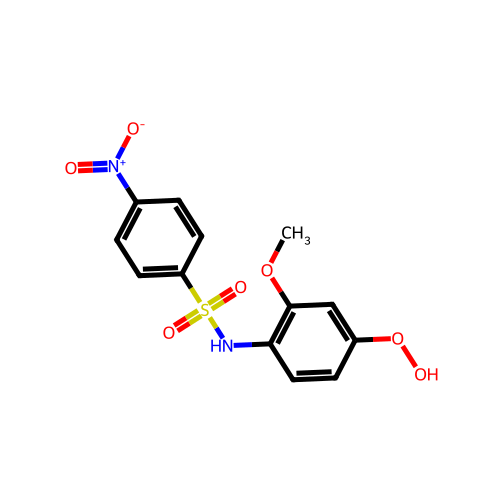 COc1cc(OO)ccc1NS(=O)(=O)c1ccc([N+](=O)[O-])cc1